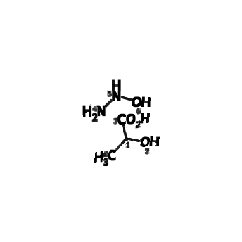 CC(O)C(=O)O.NNO